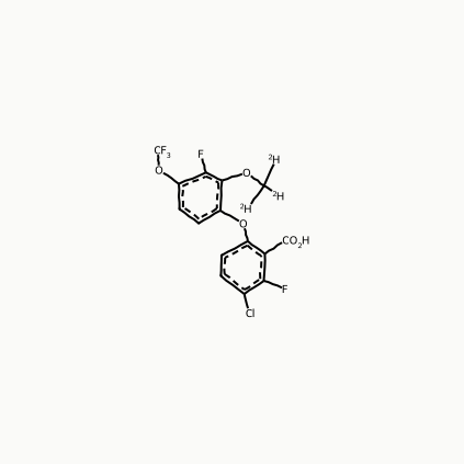 [2H]C([2H])([2H])Oc1c(Oc2ccc(Cl)c(F)c2C(=O)O)ccc(OC(F)(F)F)c1F